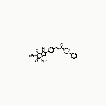 CCCn1c(=O)c2[nH]c(-c3ccc(/C=C/C(=O)N4CCN(c5ccccc5)CC4)cc3)cc2n(CCC)c1=O